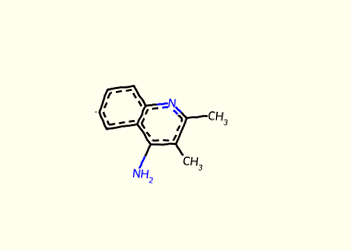 Cc1nc2cc[c]cc2c(N)c1C